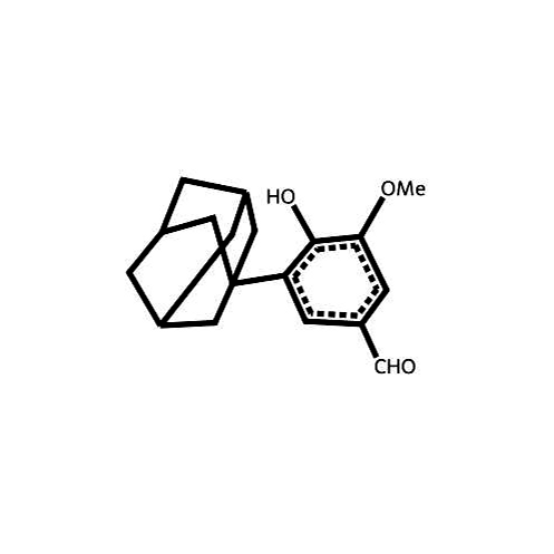 COc1cc(C=O)cc(C23CC4CC(CC(C4)C2)C3)c1O